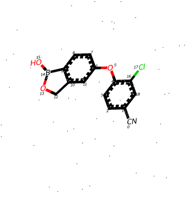 N#Cc1ccc(Oc2ccc3c(c2)COB3O)c(Cl)c1